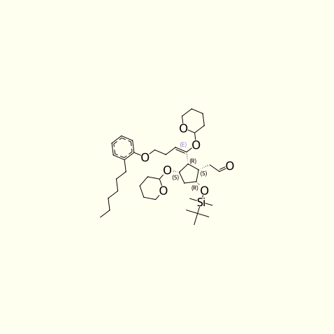 CCCCCCc1ccccc1OCC/C=C(/OC1CCCCO1)[C@@H]1[C@H](CC=O)[C@H](O[Si](C)(C)C(C)(C)C)C[C@@H]1OC1CCCCO1